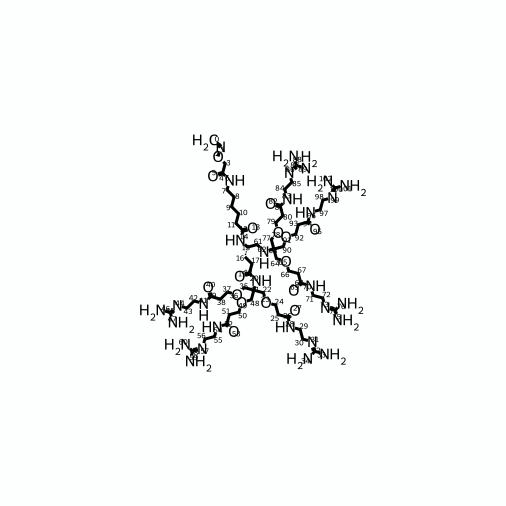 C=NOCC(=O)NCCCCCC(=O)N[C@@H](CCC(=O)NC(COCCC(=O)NCCN=C(N)N)(COCCC(=O)NCCN=C(N)N)COCCC(=O)NCCN=C(N)N)CNC(COCCC(=O)NCCN=C(N)N)(COCCC(=O)NCCN=C(N)N)COCCC(=O)NCCN=C(N)N